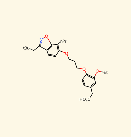 CCCc1c(OCCCOc2ccc(CC(=O)O)cc2OCC)ccc2c(CC(C)(C)C)noc12